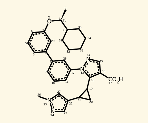 C[C@H](Oc1cccc(-c2cccc(-n3ncc(C(=O)O)c3C3CC3c3cnn(C)c3)c2)c1)C1CCCCC1